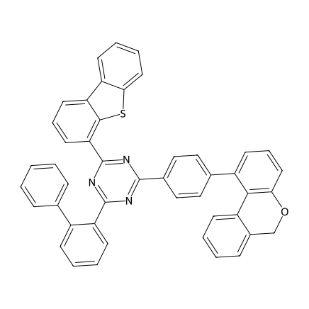 c1ccc(-c2ccccc2-c2nc(-c3ccc(-c4cccc5c4-c4ccccc4CO5)cc3)nc(-c3cccc4c3sc3ccccc34)n2)cc1